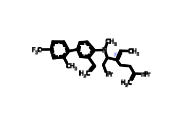 C=Cc1cc(-c2ccc(C(F)(F)F)cc2C)ccc1N(C)C(CC(C)C)/C(=C/C)CCC(=C)CCC